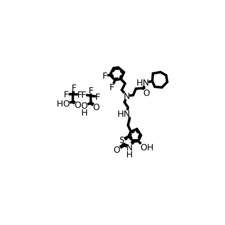 O=C(CCN(CCNCCc1ccc(O)c2[nH]c(=O)sc12)CCc1cccc(F)c1F)NC1CCCCCC1.O=C(O)C(F)(F)F.O=C(O)C(F)(F)F